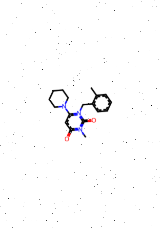 Cc1ccccc1Cn1c(N2CCCCC2)cc(=O)n(C)c1=O